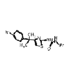 CC(C)NC(=O)Nc1nc(C(C)(C)c2ccc(Br)cc2)cs1